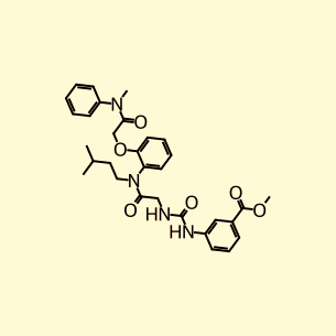 COC(=O)c1cccc(NC(=O)NCC(=O)N(CCC(C)C)c2ccccc2OCC(=O)N(C)c2ccccc2)c1